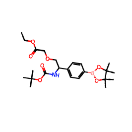 CCOC(=O)COCC(NC(=O)OC(C)(C)C)c1ccc(B2OC(C)(C)C(C)(C)O2)cc1